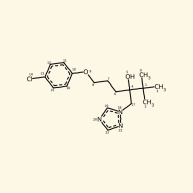 CC(C)(C)C(O)(CCCOc1ccc(Cl)cc1)Cn1cncn1